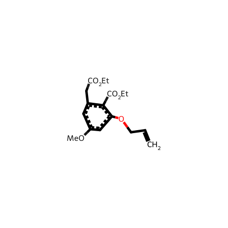 C=CCOc1cc(OC)cc(CC(=O)OCC)c1C(=O)OCC